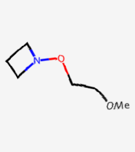 COCCON1CCC1